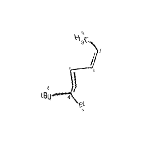 C/C=C\C=C(/CC)C(C)(C)C